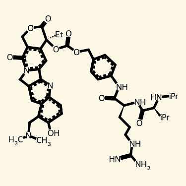 CC[C@@]1(OC(=O)OCc2ccc(NC(=O)[C@H](CCCNC(=N)N)NC(=O)[C@@H](NC(C)C)C(C)C)cc2)C(=O)OCc2c1cc1n(c2=O)Cc2cc3c(CN(C)C)c(O)ccc3nc2-1